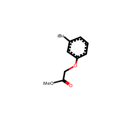 CCC(C)c1cccc(OCC(=O)OC)c1